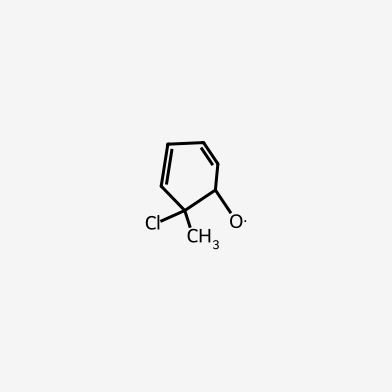 CC1(Cl)C=CC=CC1[O]